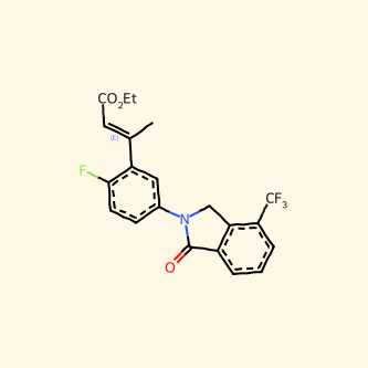 CCOC(=O)/C=C(\C)c1cc(N2Cc3c(cccc3C(F)(F)F)C2=O)ccc1F